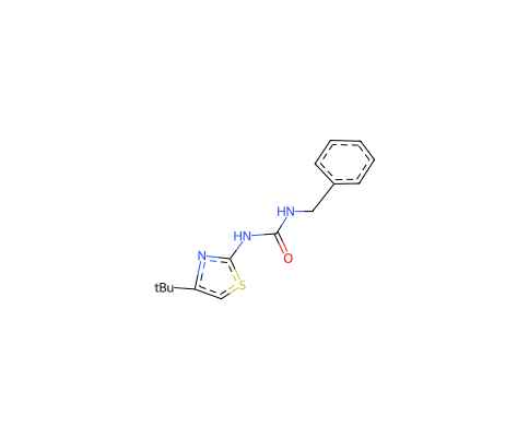 CC(C)(C)c1csc(NC(=O)NCc2ccccc2)n1